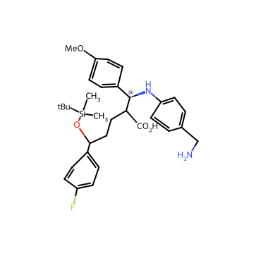 COc1ccc([C@@H](Nc2ccc(CN)cc2)C(CCC(O[Si](C)(C)C(C)(C)C)c2ccc(F)cc2)C(=O)O)cc1